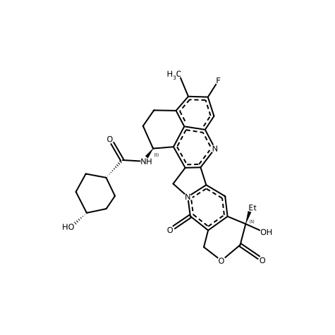 CC[C@@]1(O)C(=O)OCc2c1cc1n(c2=O)Cc2c-1nc1cc(F)c(C)c3c1c2[C@@H](NC(=O)[C@H]1CC[C@@H](O)CC1)CC3